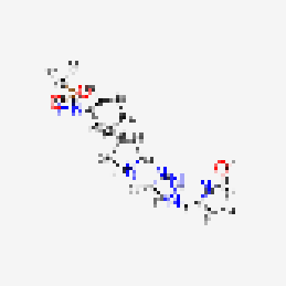 COc1cccc(Cn2cc(CN3CCC(c4cccc(NS(=O)(=O)C(C)C)c4)CC3)nn2)n1